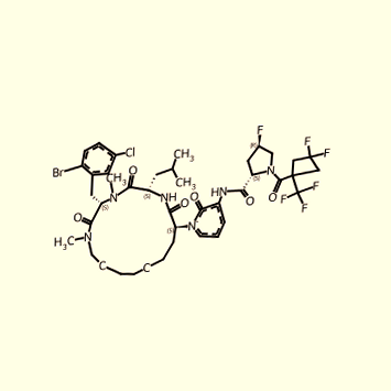 CC(C)C[C@@H]1NC(=O)[C@@H](n2cccc(NC(=O)[C@@H]3C[C@@H](F)CN3C(=O)C3(C(F)(F)F)CC(F)(F)C3)c2=O)CCCCCCCN(C)C(=O)[C@H](Cc2cc(Cl)ccc2Br)N(C)C1=O